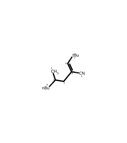 CCCCC(C)C/C(C#N)=C/C(C)(C)C